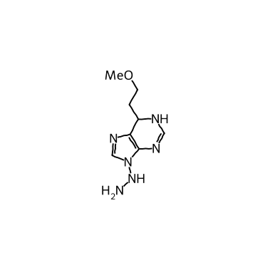 COCCC1NC=Nc2c1ncn2NN